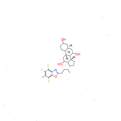 Cc1c(F)c(F)c2nc(CCC(C)[C@H]3CC[C@H]4[C@@H]5[C@H](O)C[C@@H]6C[C@H](O)CC[C@]6(C)[C@H]5C[C@H](O)[C@]34C)oc2c1F